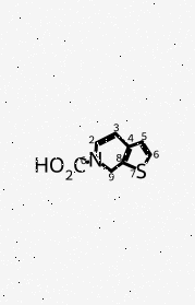 O=C(O)N1C=Cc2ccsc2C1